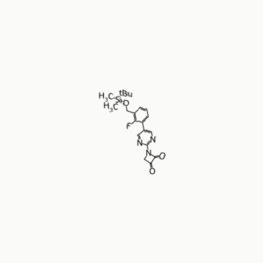 CC(C)(C)[Si](C)(C)OCc1cccc(-c2cnc(N3CC(=O)C3=O)nc2)c1F